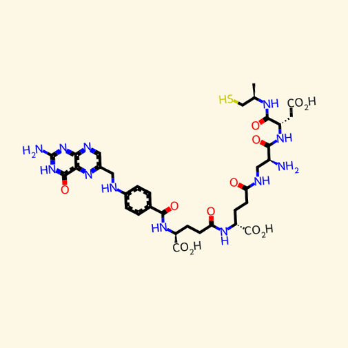 C[C@H](CS)NC(=O)[C@H](CC(=O)O)NC(=O)[C@@H](N)CNC(=O)CC[C@@H](NC(=O)CC[C@H](NC(=O)c1ccc(NCc2cnc3nc(N)[nH]c(=O)c3n2)cc1)C(=O)O)C(=O)O